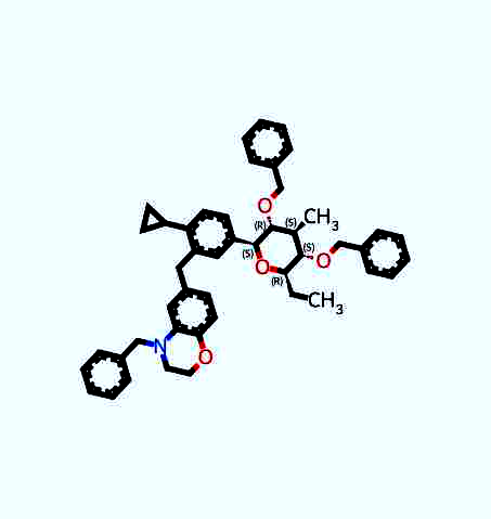 CC[C@H]1O[C@@H](c2ccc(C3CC3)c(Cc3ccc4c(c3)N(Cc3ccccc3)CCO4)c2)[C@H](OCc2ccccc2)[C@@H](C)[C@@H]1OCc1ccccc1